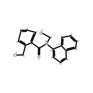 O=C(c1ccccc1CCl)N(CCl)c1cccc2ccccc12